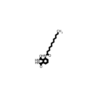 CCCCCCCCCCCC(=O)Nc1cccc2c(=O)[nH][nH]c(=O)c12